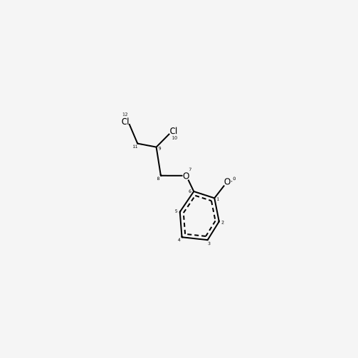 [O]c1ccccc1OCC(Cl)CCl